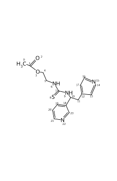 CC(=O)OCCNC(=S)NC(Cc1ccncc1)c1cccnc1